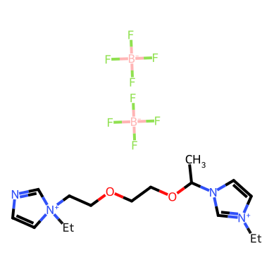 CC[n+]1ccn(C(C)OCCOCC[N+]2(CC)C=CN=C2)c1.F[B-](F)(F)F.F[B-](F)(F)F